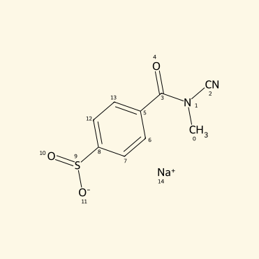 CN(C#N)C(=O)c1ccc(S(=O)[O-])cc1.[Na+]